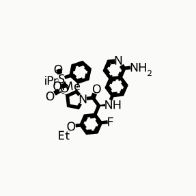 CCOc1ccc(F)c([C@H](Nc2ccc3c(N)nccc3c2)C(=O)N2CC[C@H](C(=O)OC)[C@@H]2c2ccccc2S(=O)(=O)C(C)C)c1